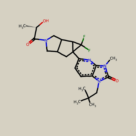 C[C@H](O)C(=O)N1CC2CC3(c4ccc5c(n4)n(C)c(=O)n5CC(C)(C)C)C(C2C1)C3(F)F